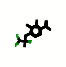 C=C(C)c1ccc(CC(C)(F)C(F)F)c(C)c1C